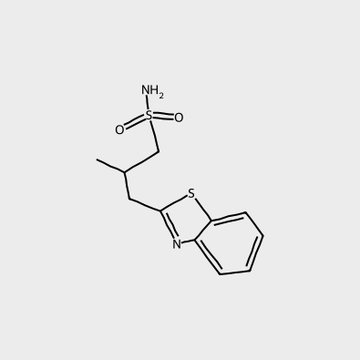 CC(Cc1nc2ccccc2s1)CS(N)(=O)=O